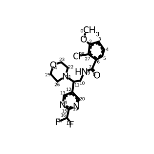 COc1cccc(C(=O)NCC(c2cnc(C(F)F)nc2)N2CCOCC2)c1Cl